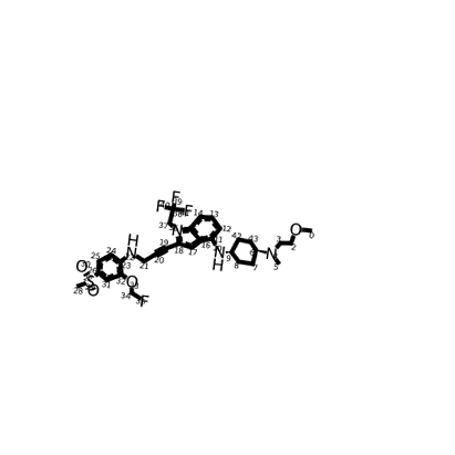 COCCN(C)[C@H]1CC[C@H](Nc2cccc3c2cc(C#CCNc2ccc(S(C)(=O)=O)cc2OCF)n3CC(F)(F)F)CC1